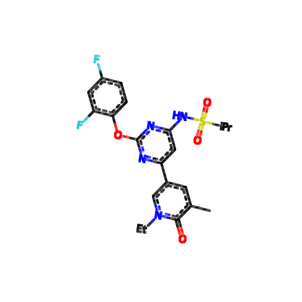 CCn1cc(-c2cc(NS(=O)(=O)C(C)C)nc(Oc3ccc(F)cc3F)n2)cc(C)c1=O